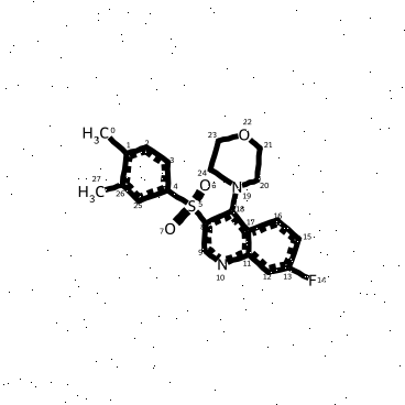 Cc1ccc(S(=O)(=O)c2cnc3cc(F)ccc3c2N2CCOCC2)cc1C